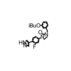 CC(C)COc1cccc(CN2CCN(c3ccc(-c4cn[nH]c4)c(F)c3)C2=O)c1